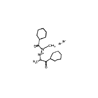 C[N]([Hf+2][N](C)C(=O)C1CCCCC1)C(=O)C1CCCCC1.[Br-].[Br-]